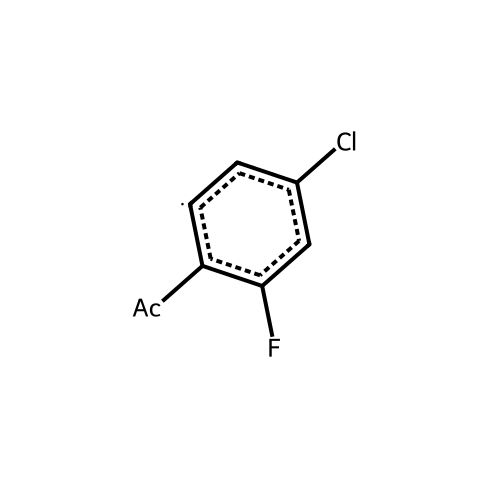 CC(=O)c1[c]cc(Cl)cc1F